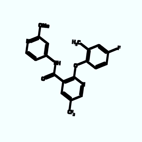 COc1cc(NC(=O)c2cc(C(F)(F)F)cnc2Oc2ccc(F)cc2C)ccn1